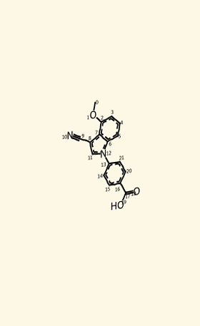 COc1cccc2c1c(C#N)cn2-c1ccc(C(=O)O)cc1